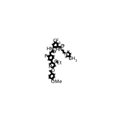 CCOc1cc(OCc2ccc(OC)cc2)ncc1-c1ccc(CC(=O)Nc2cc(C(=O)NCCN3CC[C@H](C)C3)cc(C(F)(F)F)c2)c(F)c1